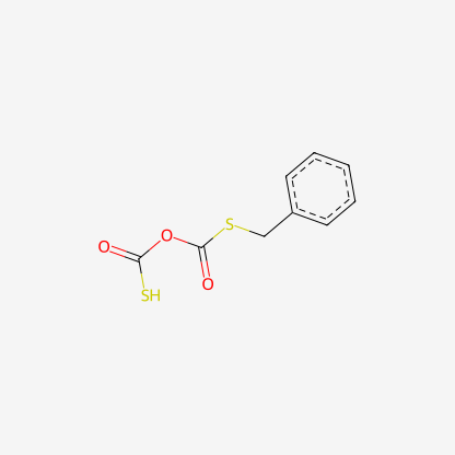 O=C(S)OC(=O)SCc1ccccc1